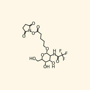 O=C(CCCCO[C@@H]1OC(CO)[C@H](O)[C@H](O)C1NC(=O)C(F)(F)F)ON1C(=O)CCC1=O